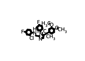 COc1ccc(C(C)(C)c2cnc(CNc3ccc(F)cc3Cl)n2-c2ccc(F)cc2)cc1OC